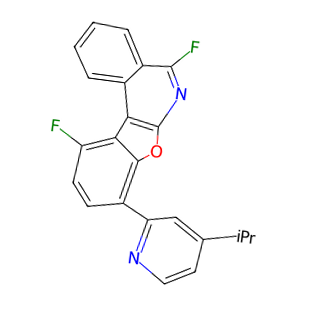 CC(C)c1ccnc(-c2ccc(F)c3c2oc2nc(F)c4ccccc4c23)c1